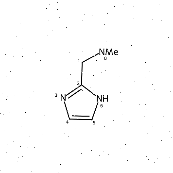 [CH2]NCc1ncc[nH]1